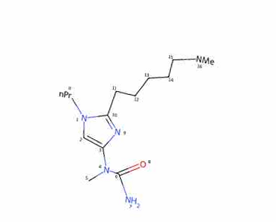 CCCn1cc(N(C)C(N)=O)nc1CCCCCNC